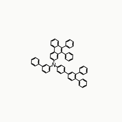 c1ccc(-c2cccc(N(c3ccc(-c4ccc(-c5ccccc5)c(-c5ccccc5)c4)cc3)c3ccc4c(c3)c(-c3ccccc3)c(-c3ccccc3)c3ccccc34)c2)cc1